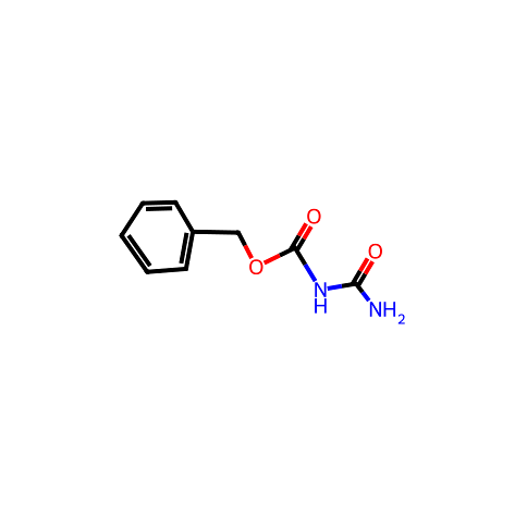 NC(=O)NC(=O)OCc1ccccc1